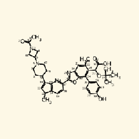 CC(=O)N1CC(N2CCC(C3=CC(C)c4ccc(-c5nc6cc(C)c(C(OC(C)(C)C)C(=O)O)c(-c7ccc(O)cc7)c6o5)nc43)CC2)C1